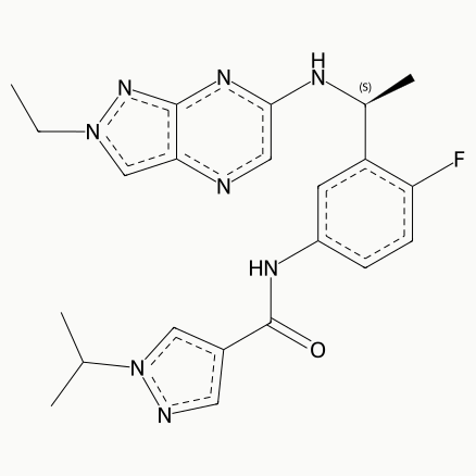 CCn1cc2ncc(N[C@@H](C)c3cc(NC(=O)c4cnn(C(C)C)c4)ccc3F)nc2n1